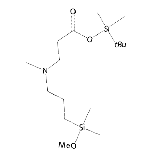 CO[Si](C)(C)CCCN(C)CCC(=O)O[Si](C)(C)C(C)(C)C